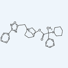 CC(C(=O)OC1C[N+]2(Cc3nc(-c4ccccc4)no3)CCC1CC2)(c1ccccc1)N1CCCCC1